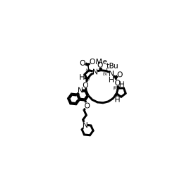 COC(=O)[C@@H]1C[C@@H]2CN1C(=O)[C@H](C(C)(C)C)NC(=O)O[C@@H]1CCC[C@H]1CCCCCc1c(nc3ccccc3c1OCCCN1CCCCC1)O2